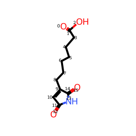 O=C(O)CCCCCCC1=CC(=O)NC1=O